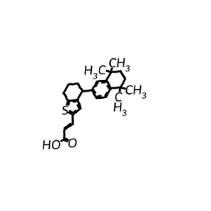 CC1(C)CCC(C)(C)c2cc(C3CCCc4sc(C=CC(=O)O)cc43)ccc21